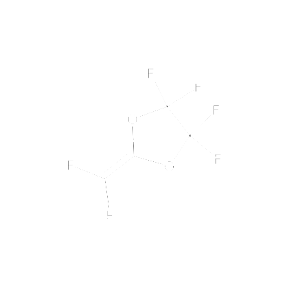 FC(F)=C1OC(F)(F)C(F)(F)O1